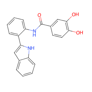 O=C(Nc1ccccc1-c1cc2ccccc2[nH]1)c1ccc(O)c(O)c1